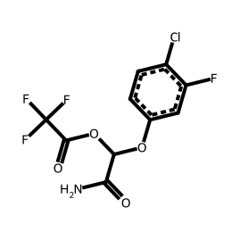 NC(=O)C(OC(=O)C(F)(F)F)Oc1ccc(Cl)c(F)c1